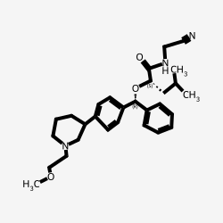 COCCN1CCCC(c2ccc([C@H](O[C@@H](CC(C)C)C(=O)NCC#N)c3ccccc3)cc2)C1